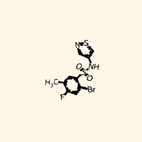 Cc1cc(S(=O)(=O)Nc2cnsc2)c(Br)cc1F